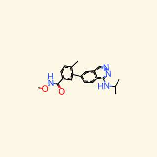 CONC(=O)c1ccc(C)c(-c2ccc3c(NC(C)C)nncc3c2)c1